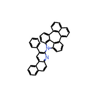 c1ccc(-c2cc3c(ccc4ccccc43)nc2-n2c3cccc4c3c3c(cccc32)-c2cccc3cccc-4c23)cc1